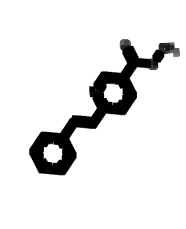 COC(=O)c1ccc(C=Cc2ccccc2)nc1